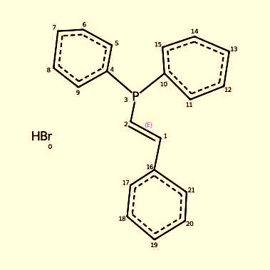 Br.C(=C\P(c1ccccc1)c1ccccc1)/c1ccccc1